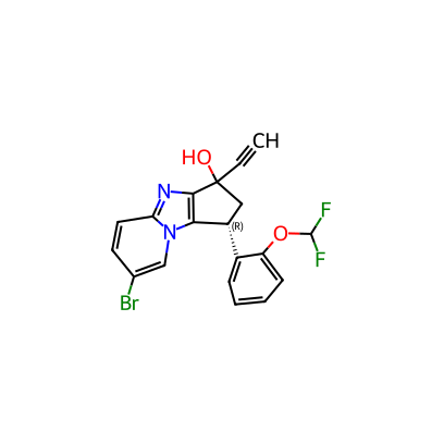 C#CC1(O)C[C@H](c2ccccc2OC(F)F)c2c1nc1ccc(Br)cn21